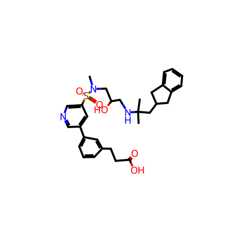 CN(CC(O)CNC(C)(C)CC1Cc2ccccc2C1)S(=O)(=O)c1cncc(-c2cccc(CCC(=O)O)c2)c1